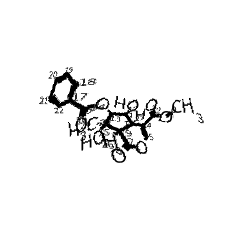 COC(=O)C1=COC(=O)[C@H]2[C@@H]1[C@H](O)[C@H](OC(=O)c1ccccc1)[C@]2(C)O